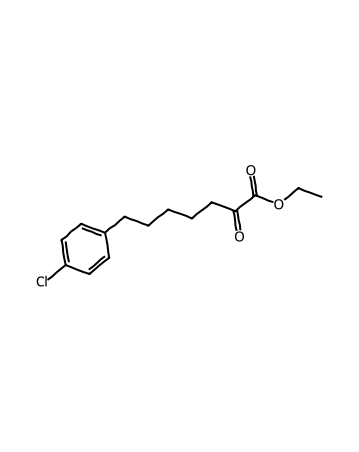 CCOC(=O)C(=O)CCCCCc1ccc(Cl)cc1